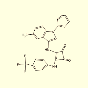 Cc1ccc2c(c1)c(Nc1c(Nc3ccc(C(F)(F)F)cc3)c(=O)c1=O)cn2-c1ccccc1